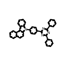 c1ccc(-c2nc(-c3ccccc3)nc(-c3ccc(-n4c5ccccc5c5c6ccccc6ccc54)cc3)n2)cc1